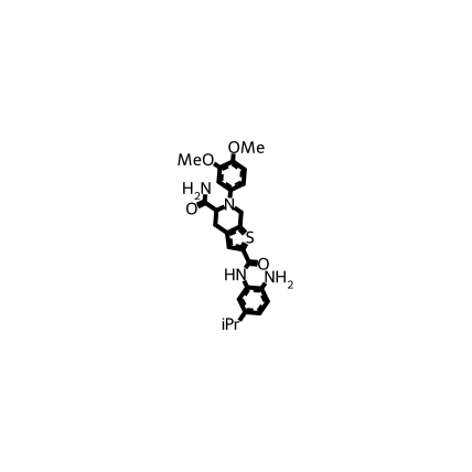 COc1ccc(N2Cc3sc(C(=O)Nc4cc(C(C)C)ccc4N)cc3CC2C(N)=O)cc1OC